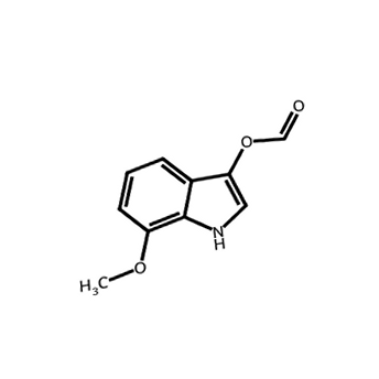 COc1cccc2c(OC=O)c[nH]c12